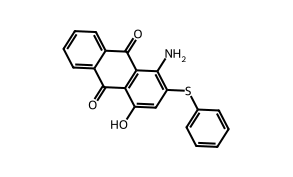 Nc1c(Sc2ccccc2)cc(O)c2c1C(=O)c1ccccc1C2=O